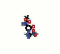 Cn1ncc([N+](=O)[O-])c1N1CC[C@H](NC(=O)OC(C)(C)C)CC(=O)C1